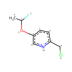 CC(F)Oc1ccc(CCl)nc1